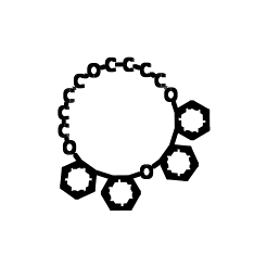 c1ccc2c(c1)OCCCCOCCCCOc1ccccc1-c1ccccc1Oc1ccccc1-2